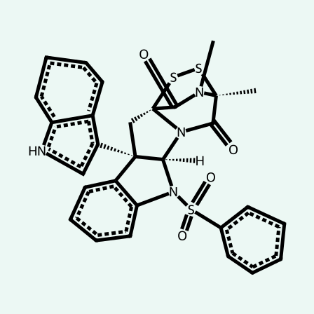 CN1C(=O)[C@@]23C[C@]4(c5c[nH]c6ccccc56)c5ccccc5N(S(=O)(=O)c5ccccc5)[C@@H]4N2C(=O)[C@]1(C)SS3